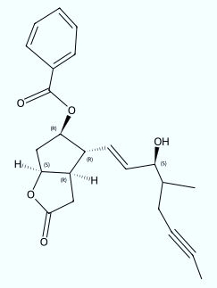 CC#CCC(C)[C@H](O)C=C[C@@H]1[C@H]2CC(=O)O[C@H]2C[C@H]1OC(=O)c1ccccc1